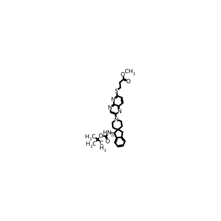 COC(=O)CCSc1ccc2nc(N3CCC4(CC3)Cc3ccccc3[C@H]4NC(=O)OC(C)(C)C)cnc2n1